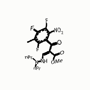 CCCN(CCC)NC=C(C(=O)OC)C(=O)c1c(F)c(C)c(F)c(F)c1[N+](=O)[O-]